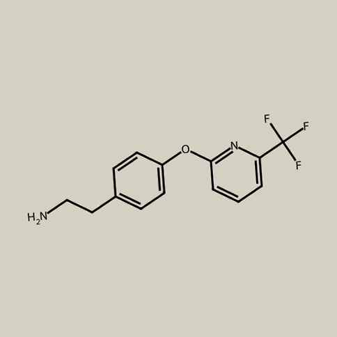 NCCc1ccc(Oc2cccc(C(F)(F)F)n2)cc1